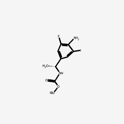 C[C@@H](NC(=O)OC(C)(C)C)c1cc(F)c(N)c(I)c1